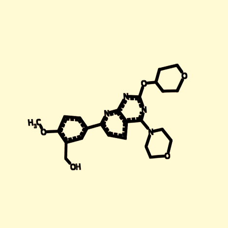 COc1ccc(-c2ccc3c(N4CCOCC4)nc(OC4CCOCC4)nc3n2)cc1CO